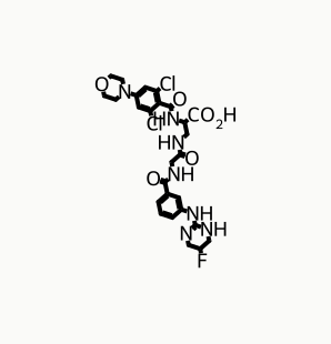 O=C(CNC(=O)c1cccc(NC2=NCC(F)CN2)c1)NCC(NC(=O)c1c(Cl)cc(N2CCOCC2)cc1Cl)C(=O)O